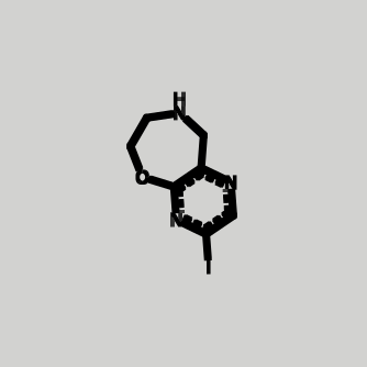 Ic1cnc2c(n1)OCCNC2